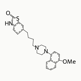 COc1ccc(N2CCN(CCCCc3ccc4[nH]c(=O)sc4c3)CC2)c2ccccc12